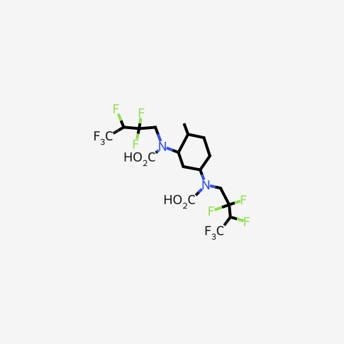 CC1CCC(N(CC(F)(F)C(F)C(F)(F)F)C(=O)O)CC1N(CC(F)(F)C(F)C(F)(F)F)C(=O)O